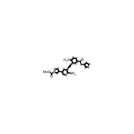 COC(=O)n1cc(-c2cnc(N)c(C#Cc3cc(C(=O)Cc4ccsc4)ccc3C)c2)cn1